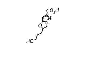 O=C(O)c1cc2n(n1)CC(CCCO)O2